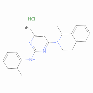 CCCc1cc(N2CCc3ccccc3C2C)nc(Nc2ccccc2C)n1.Cl